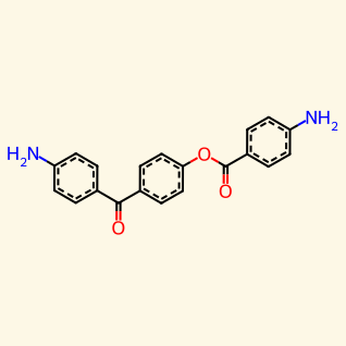 Nc1ccc(C(=O)Oc2ccc(C(=O)c3ccc(N)cc3)cc2)cc1